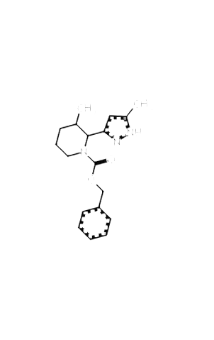 Cc1cc(C2C(C)CCCN2C(=O)OCc2ccccc2)n[nH]1